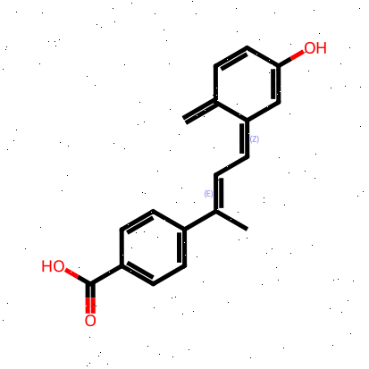 C=c1ccc(O)c/c1=C/C=C(\C)c1ccc(C(=O)O)cc1